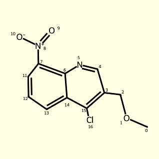 COCc1cnc2c([N+](=O)[O-])cccc2c1Cl